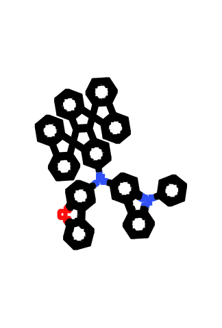 c1ccc(-n2c3ccccc3c3cc(N(c4ccc5c(c4)C4(C6=C5C5(c7ccccc76)c6ccccc6-c6ccccc65)c5ccccc5-c5ccccc54)c4ccc5oc6ccccc6c5c4)ccc32)cc1